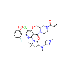 C=CC(=O)N1CCN2C(=O)c3c(N4CC(N(C)C5CN(C)C5)CC4(C)C)nc(-c4c(O)cccc4F)c(Cl)c3OCC2C1